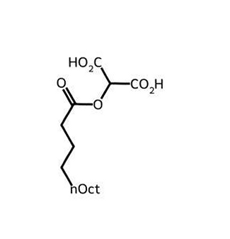 CCCCCCCCCCCC(=O)OC(C(=O)O)C(=O)O